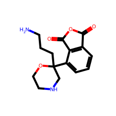 NCCCC1(c2cccc3c2C(=O)OC3=O)CNCCO1